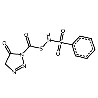 O=C1CN=NN1C(=O)SNS(=O)(=O)c1ccccc1